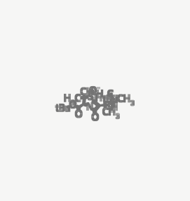 C[SiH](C)OC(C)([C@H]1C(=O)N2[C@@H]1[S+]([O-])C(C)(C)[C@@H]2C(=O)OC(C)(C)C)C(C)(C)C